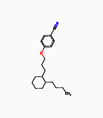 CCCCC1CCCCC1CCCOc1ccc(C#N)cc1